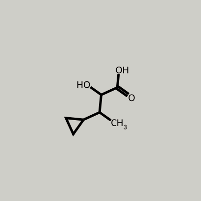 CC(C1CC1)C(O)C(=O)O